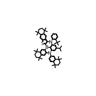 CC(C)c1cc2c3c(c1)N(c1ccccc1C(C)(C)C)c1c(sc4cc5c(cc14)C(C)(C)CCC5(C)C)B3c1cc3c(cc1N2c1ccc2c(c1)C(C)(C)CCC2(C)C)C(C)(C)CCC3(C)C